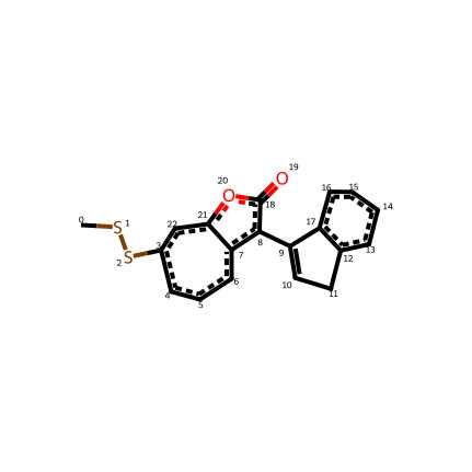 CSSc1cccc2c(C3=CCc4ccccc43)c(=O)oc-2c1